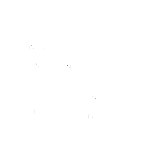 O=C1NCN(c2ccc(F)cc2)C12CCN(CCCn1c(=O)[nH]c3cc(C(F)(F)F)ccc31)CC2